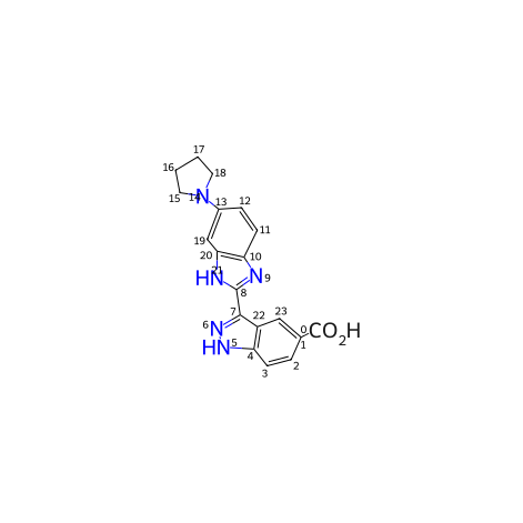 O=C(O)c1ccc2[nH]nc(-c3nc4ccc(N5CCCC5)cc4[nH]3)c2c1